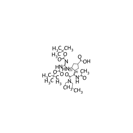 CCCN(CC)C(=O)C(NC(C)=O)[C@@H]1CC(C(=O)O)C[C@@H]1NC(=NC(=O)OC(C)(C)C)NC(=O)OC(C)(C)C